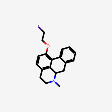 CN1CCc2ccc(OCCI)c3c2C1Cc1ccccc1-3